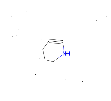 C1#CNCC[CH]1